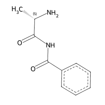 C[C@H](N)C(=O)NC(=O)c1ccccc1